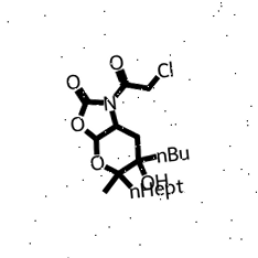 CCCCCCCC1(C)OC2OC(=O)N(C(=O)CCl)C2CC1(O)CCCC